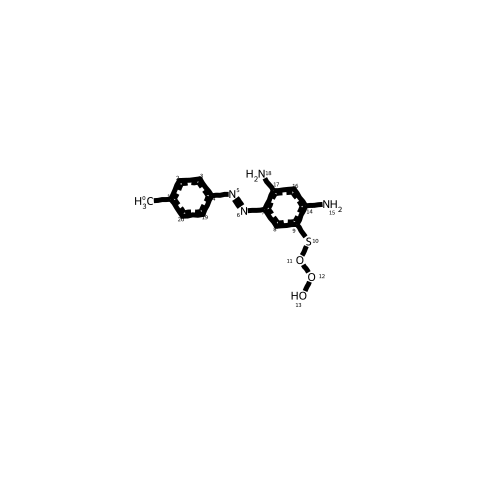 Cc1ccc(N=Nc2cc(SOOO)c(N)cc2N)cc1